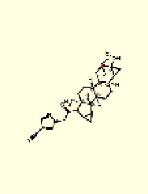 COC[C@]12CC[C@]3(O)CC3[C@H]1CC[C@@H]1[C@@H]2CC[C@]2(C)C(C(=O)Cn3cc(C#N)cn3)C3CC3[C@@H]12